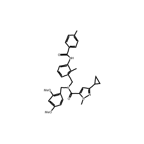 COc1ccc(CN(Cc2cccc(NC(=O)c3ccc(C)cc3)c2C)C(=O)c2cc(C3CC3)nn2C)c(OC)c1